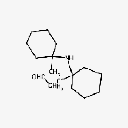 CC1(NC2(C)CCCCC2)CCCCC1.O=CO